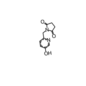 O=C1CCC(=O)N1Cc1ccc(O)cn1